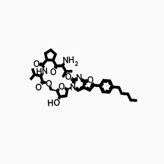 CCCCCc1ccc(-c2cc3cn([C@H]4CC(O)[C@@H](COC(=O)C(NC(=O)C5CCCC5C(=O)C(N)C(C)C)C(C)C)O4)c(=O)nc3o2)cc1